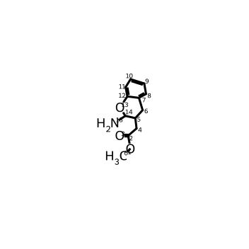 COC(=O)CC1Cc2ccccc2OC1N